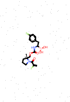 C=C(F)C(=O)N1CCC[C@]1(C)COC(=O)NC(Cc1ccc(F)cc1)B(O)O